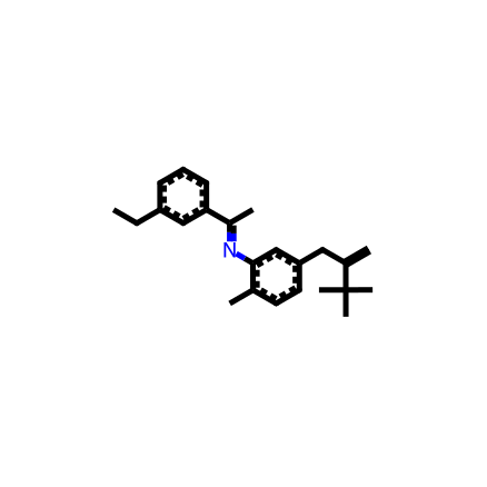 C=C(Cc1ccc(C)c(/N=C(\C)c2cccc(CC)c2)c1)C(C)(C)C